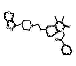 Cc1c(C)c2cc(CCN3CCN(c4noc5ccccc45)CC3)ccc2n(CC(=O)c2ccccc2)c1=O